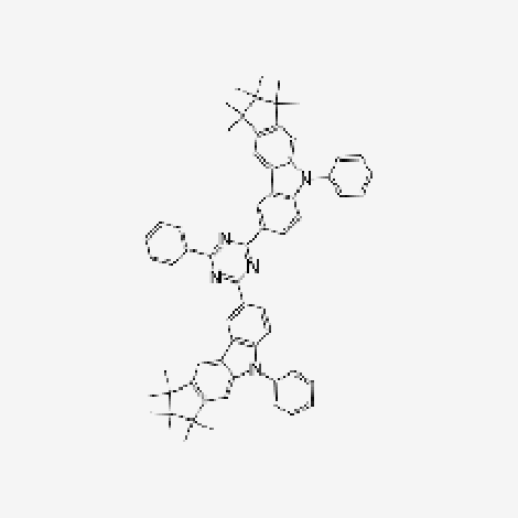 CC1(C)c2cc3c4cc(-c5nc(-c6ccccc6)nc(-c6ccc7c(c6)c6cc8c(cc6n7-c6ccccc6)C(C)(C)C(C)(C)C8(C)C)n5)ccc4n(-c4ccccc4)c3cc2C(C)(C)C1(C)C